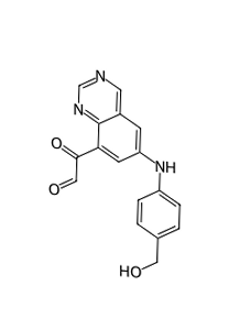 O=CC(=O)c1cc(Nc2ccc(CO)cc2)cc2cncnc12